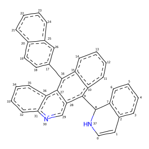 C1=Cc2ccccc2C(c2c3ccccc3c(-c3ccc4ccccc4c3)c3c2cnc2ccccc23)N1